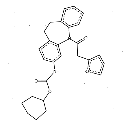 O=C(Nc1ccc2c(c1)N(C(=O)Cc1ccco1)c1ccccc1CC2)OC1CCCCC1